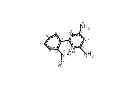 Nc1nc(N)nc(-c2ccccc2[N+](=O)[O-])n1